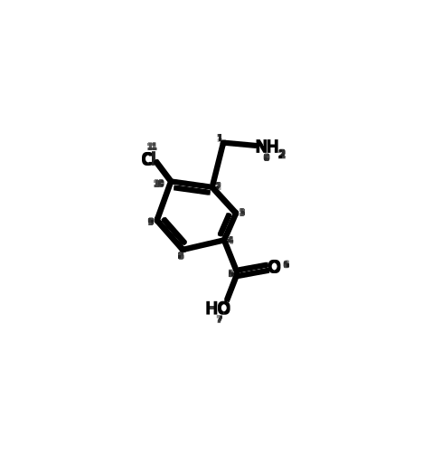 NCc1cc(C(=O)O)ccc1Cl